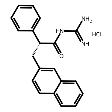 Cl.N=C(N)NC(=O)[C@H](Cc1ccc2ccccc2c1)c1ccccc1